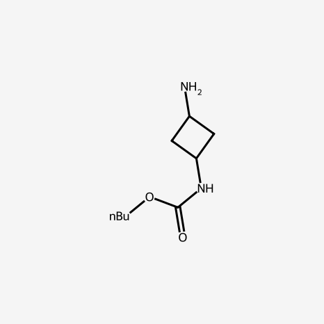 CCCCOC(=O)NC1CC(N)C1